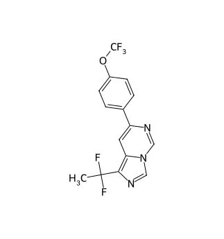 CC(F)(F)c1ncn2cnc(-c3ccc(OC(F)(F)F)cc3)cc12